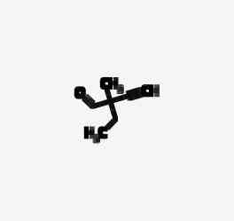 C#CC(C)(C=O)CC